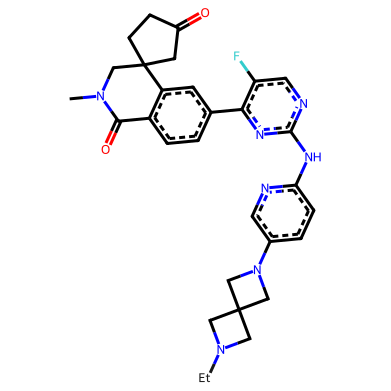 CCN1CC2(C1)CN(c1ccc(Nc3ncc(F)c(-c4ccc5c(c4)C4(CCC(=O)C4)CN(C)C5=O)n3)nc1)C2